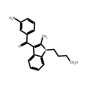 Cc1c(C(=O)c2cccc([N+](=O)[O-])c2)c2ccccc2n1CCCC(=O)O